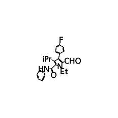 CCn1c(C=O)c(-c2ccc(F)cc2)c(C(C)C)c1C(=O)Nc1ccccc1